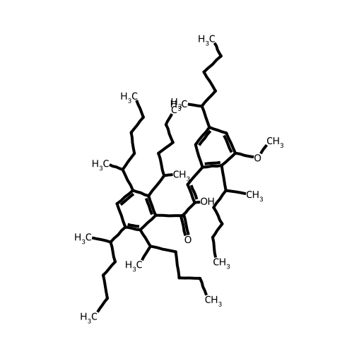 CCCCC(C)c1cc(C=C(O)C(=O)c2c(C(C)CCCC)c(C(C)CCCC)cc(C(C)CCCC)c2C(C)CCCC)c(C(C)CCCC)c(OC)c1